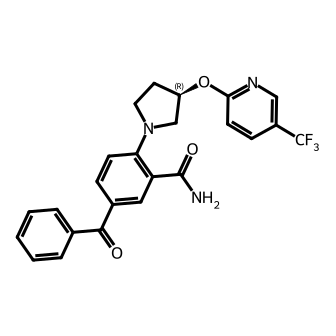 NC(=O)c1cc(C(=O)c2ccccc2)ccc1N1CC[C@@H](Oc2ccc(C(F)(F)F)cn2)C1